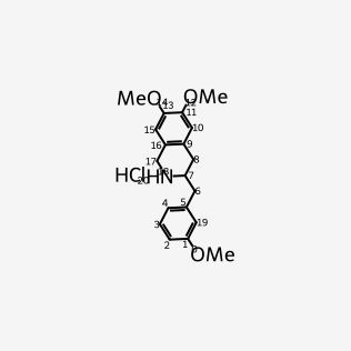 COc1cccc(CC2Cc3cc(OC)c(OC)cc3CN2)c1.Cl